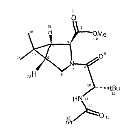 COC(=O)[C@@H]1[C@@H]2[C@H](CN1C(=O)[C@@H](NC(=O)C(C)C)C(C)(C)C)C2(C)C